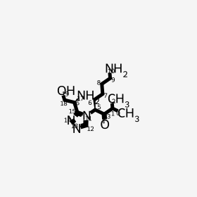 CC(C)C(=O)[C@H](CCCCN)n1cnnc1[C@@H](N)CO